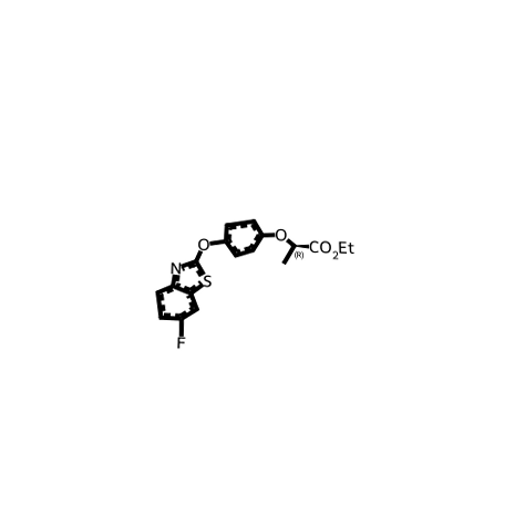 CCOC(=O)[C@@H](C)Oc1ccc(Oc2nc3ccc(F)cc3s2)cc1